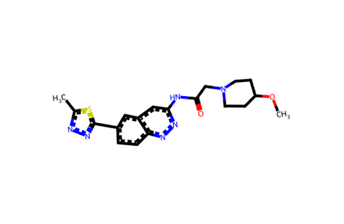 COC1CCN(CC(=O)Nc2cc3cc(-c4nnc(C)s4)ccc3nn2)CC1